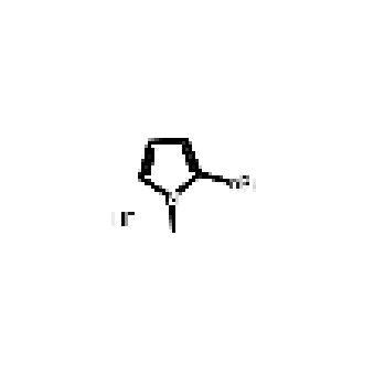 CCCCc1cccn1C.F